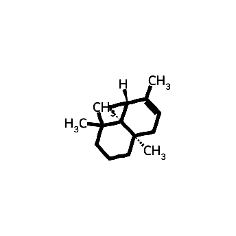 CC1=CC[C@@]2(C)CCCC(C)(C)[C@]23C[C@H]13